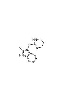 Cc1[nH]c2ccccc2c1SC1=NCCCN1